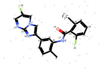 Cc1ccc(-c2cn3cc(F)cnc3n2)cc1NC(=O)c1c(F)cccc1C(F)(F)F